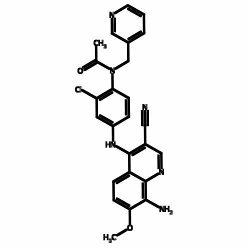 COc1ccc2c(Nc3ccc(N(Cc4cccnc4)C(C)=O)c(Cl)c3)c(C#N)cnc2c1N